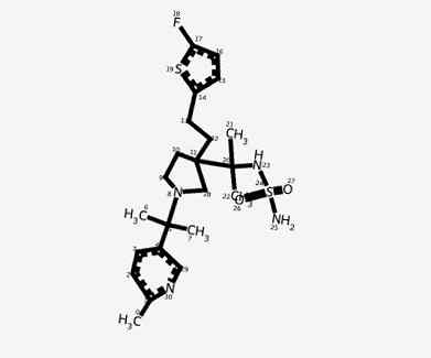 Cc1ccc(C(C)(C)N2CCC(CCc3ccc(F)s3)(C(C)(C)NS(N)(=O)=O)C2)cn1